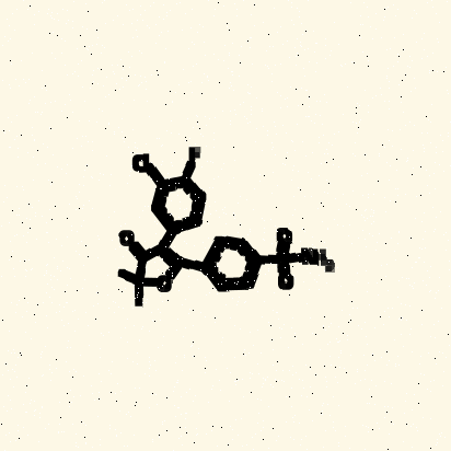 CC1(C)OC(c2ccc(S(N)(=O)=O)cc2)=C(c2ccc(F)c(Cl)c2)C1=O